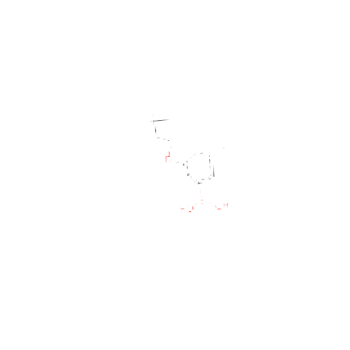 CC(C)(C)CCOc1cc(F)cc(B(O)O)c1